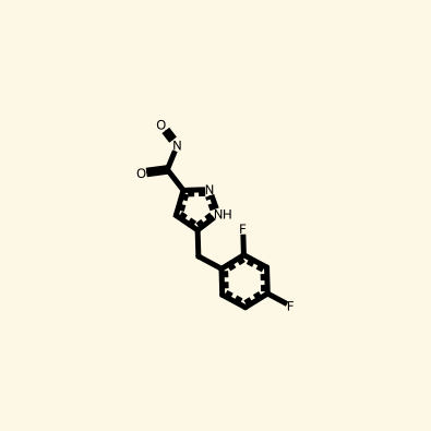 O=NC(=O)c1cc(Cc2ccc(F)cc2F)[nH]n1